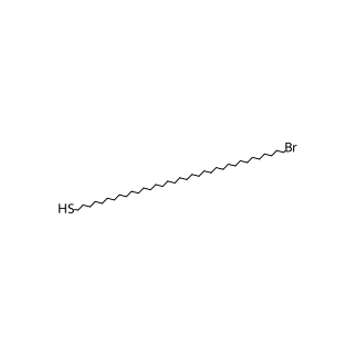 SCCCCCCCCCCCCCCCCCCCCCCCCCCCCCCCCCCCBr